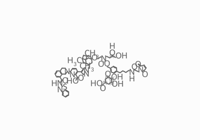 Cc1c(-c2ccc(N3CCc4cccc(C(=O)Nc5nc6ccccc6s5)c4C3)nc2C(=O)O)cnn1CC12CC3(OCCN(CC[C@H](O)CO)C(=O)OCc4ccc(CCCCNC(=O)CN5C(=O)C=CC5=O)cc4O[C@@H]4C[C@H](C(=O)O)C[C@H](O)[C@H]4O)CC4(C)CC(C)(C1)C4(C2)C3